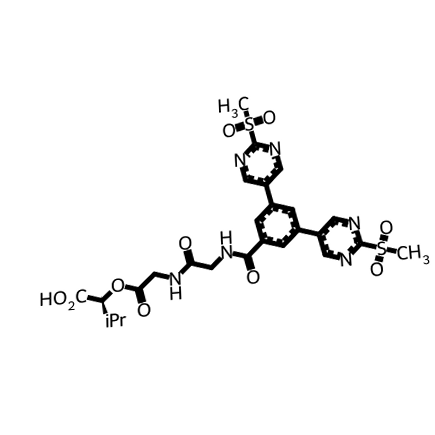 CC(C)[C@H](OC(=O)CNC(=O)CNC(=O)c1cc(-c2cnc(S(C)(=O)=O)nc2)cc(-c2cnc(S(C)(=O)=O)nc2)c1)C(=O)O